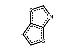 [c]1csc2ncsc12